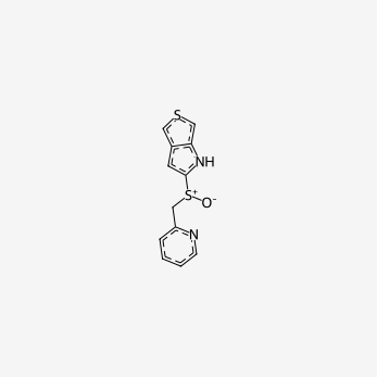 [O-][S+](Cc1ccccn1)c1cc2cscc2[nH]1